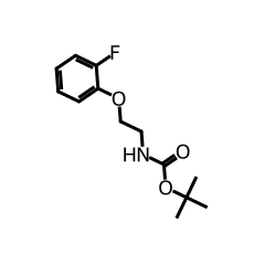 CC(C)(C)OC(=O)NCCOc1ccccc1F